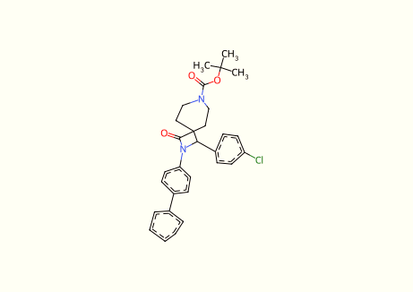 CC(C)(C)OC(=O)N1CCC2(CC1)C(=O)N(c1ccc(-c3ccccc3)cc1)C2c1ccc(Cl)cc1